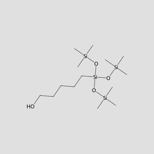 C[Si](C)(C)O[Si](CCCCCO)(O[Si](C)(C)C)O[Si](C)(C)C